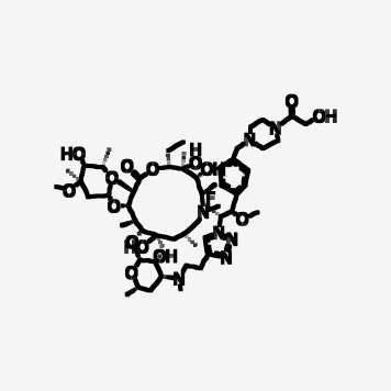 CC[C@H]1OC(=O)[C@H](C)[C@@H](O[C@H]2C[C@@](C)(OC)[C@@H](O)[C@H](C)O2)[C@H](C)[C@@H](O[C@@H]2O[C@H](C)C[C@H](N(C)CCc3cn([C@H](CF)[C@H](OC)c4ccc(CN5CCN(C(=O)CO)CC5)cc4)nn3)[C@H]2O)[C@](C)(O)C[C@@H](C)CN(C)[C@H](C)[C@@H](O)[C@]1(C)O